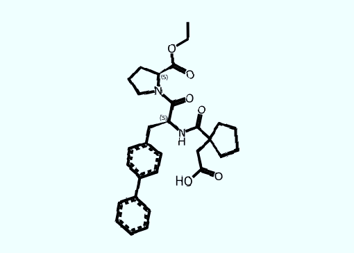 CCOC(=O)[C@@H]1CCCN1C(=O)[C@H](Cc1ccc(-c2ccccc2)cc1)NC(=O)C1(CC(=O)O)CCCC1